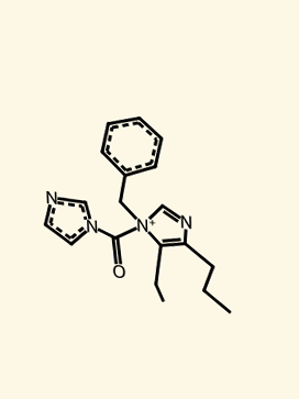 CCCC1=C(CC)[N+](Cc2ccccc2)(C(=O)n2ccnc2)C=N1